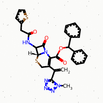 C=C(C1=C(C(=O)OC(c2ccccc2)c2ccccc2)N2C(=O)C(NC(=O)Cc3cccs3)[C@H]2SC1)c1nnnn1C